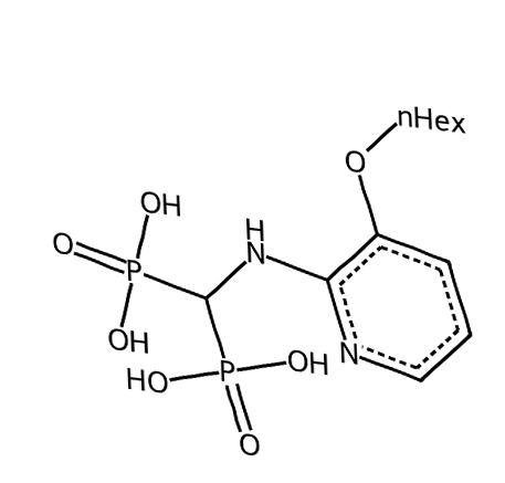 CCCCCCOc1cccnc1NC(P(=O)(O)O)P(=O)(O)O